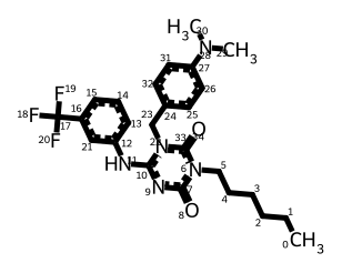 CCCCCCn1c(=O)nc(Nc2cccc(C(F)(F)F)c2)n(Cc2ccc(N(C)C)cc2)c1=O